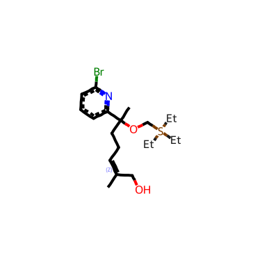 CCS(CC)(CC)COC(C)(CC/C=C(/C)CO)c1cccc(Br)n1